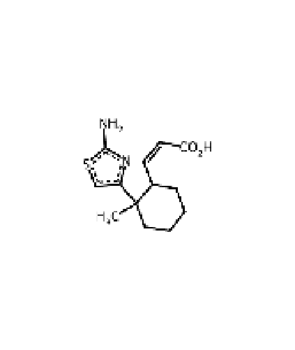 CC1(c2csc(N)n2)CCCCC1/C=C\C(=O)O